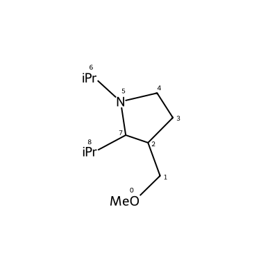 COCC1CCN(C(C)C)C1C(C)C